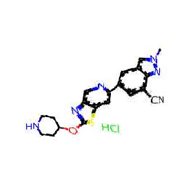 Cl.Cn1cc2cc(-c3cc4sc(OC5CCNCC5)nc4cn3)cc(C#N)c2n1